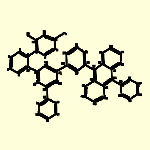 Cc1ccc(-c2ccccc2-c2nc(-c3ccccc3)nc(-c3cccc(-c4c5ccccc5c(-c5ccccc5)c5ccccc45)c3)n2)c(C)n1